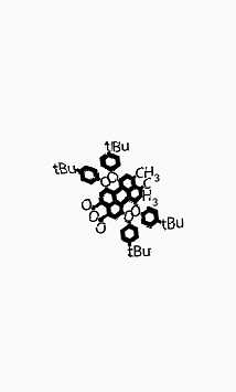 Cc1cc(Oc2ccc(C(C)(C)C)cc2)c2c3c(Oc4ccc(C(C)(C)C)cc4)cc4c5c(cc(Oc6ccc(C(C)(C)C)cc6)c(c6c(Oc7ccc(C(C)(C)C)cc7)cc(C)c1c26)c53)C(=O)OC4=O